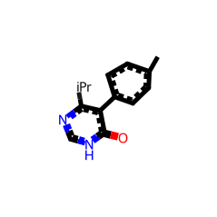 Cc1ccc(-c2c(C(C)C)nc[nH]c2=O)cc1